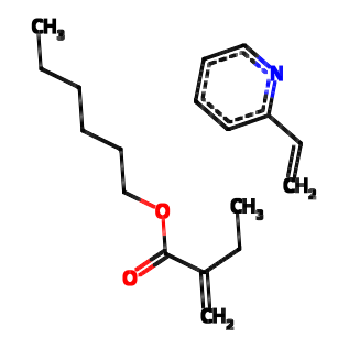 C=C(CC)C(=O)OCCCCCC.C=Cc1ccccn1